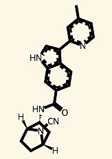 Cc1ccnc(-c2c[nH]c3cc(C(=O)N[C@@H]4C[C@@H]5CC[C@H]4N5C#N)ccc23)c1